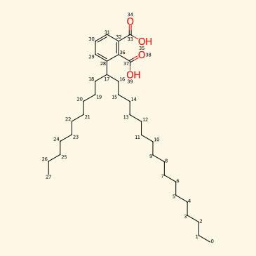 CCCCCCCCCCCCCCCCCC(CCCCCCCCCC)c1cccc(C(=O)O)c1C(=O)O